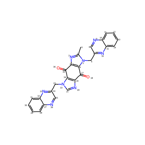 Cc1nc2c(n1Cc1cnc3ccccc3n1)C(=O)c1ncn(Cc3cnc4ccccc4n3)c1C2=O